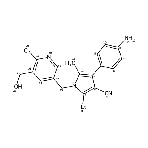 CCc1c(C#N)c(-c2ccc(N)cc2)c(C)n1Cc1cnc(Cl)c(CO)c1